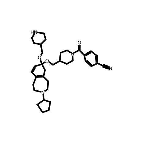 N#Cc1ccc(C(=O)N2CCC(COC3(OCC4CCNCC4)C=CC4=C(CCN(C5CCCC5)CC4)C3)CC2)cc1